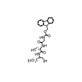 CCOC(=O)[C@H](CC(C)C)NC(=O)[C@H](CS)NC(=O)CNC(=O)OCC1c2ccccc2-c2ccccc21